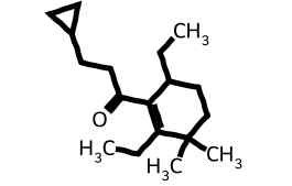 CCC1=C(C(=O)CCC2CC2)C(CC)CCC1(C)C